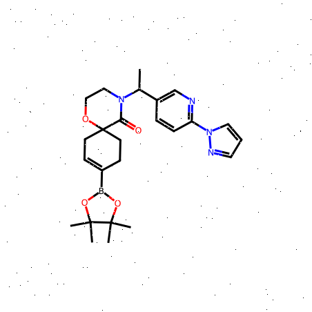 CC(c1ccc(-n2cccn2)nc1)N1CCOC2(CC=C(B3OC(C)(C)C(C)(C)O3)CC2)C1=O